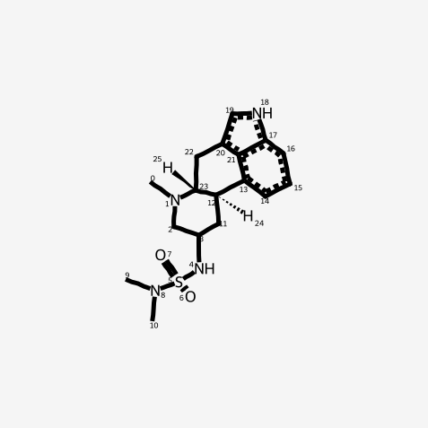 CN1CC(NS(=O)(=O)N(C)C)C[C@@H]2c3cccc4[nH]cc(c34)C[C@H]21